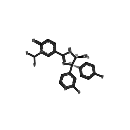 C[C@@H]1NC(c2ccc(=O)n(C(F)F)c2)=N[C@]1(c1ccc(F)cc1)c1ccnc(F)c1